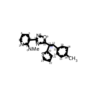 CNc1ncccc1-c1noc(/C(=C/c2ccc(C)cc2)c2cccs2)n1